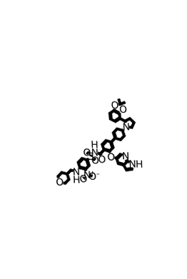 CC1(C)Oc2cccc(C3CCCN3C3CC=C(c4ccc(C(=O)NS(=O)(=O)c5ccc(NCC6CCOCC6)c([N+](=O)[O-])c5)c(Oc5cnc6[nH]ccc6c5)c4)CC3)c2O1